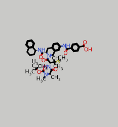 CSC(C)(C)[C@H](NC(=O)[C@H](C)N(C)C(=O)OC(C)(C)C)C(=O)N1Cc2cc(NC(=O)c3ccc(C(=O)O)cc3)ccc2C[C@H]1C(=O)N[C@@H]1CCCc2ccccc21